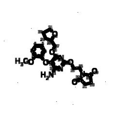 COc1ccccc1Oc1c(N)nc(OCCN2C(=O)CCC2=O)nc1OCC1CCCO1